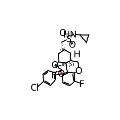 O=S(=O)(C[C@H]1CC[C@]2(S(=O)(=O)c3ccc(Cl)cc3)c3c(F)ccc(F)c3OC[C@@H]2C1)NC1CC1